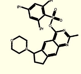 Cc1nc(OS(=O)(=O)c2c(C(C)C)cc(C(C)C)cc2C(C)C)c2cc3c(cc2n1)CCC3N1CCOCC1